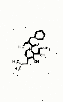 C/C=C(/Cc1ccccc1)C(=O)N1C=CC(CN(C)C)=C(O)/C1=C(\C)CC